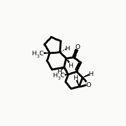 C[C@@]12CCC[C@H]1[C@@H]1C(=O)C=C3[C@@H]4O[C@@H]4CC[C@]3(C)[C@H]1CC2